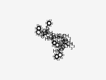 CC[C@H](C[C@H](NC(=O)OCc1ccccc1)C(=O)N[C@@H]1CCCc2ccccc21)NC(=O)c1ccc2c(c1)CN(C(=O)[C@@H](NC(=O)[C@H](C)NC)C(C)(C)C)[C@H](C(=O)N[C@@H]1CCCc3ccccc31)C2